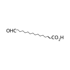 O=CCCCCCCCCCCCCC=CC(=O)O